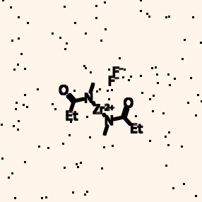 CCC(=O)[N](C)[Zr+2][N](C)C(=O)CC.[F-].[F-]